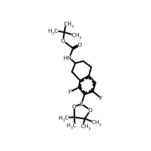 CC(C)(C)OC(=O)NC1CCc2cc(F)c(B3OC(C)(C)C(C)(C)O3)c(F)c2C1